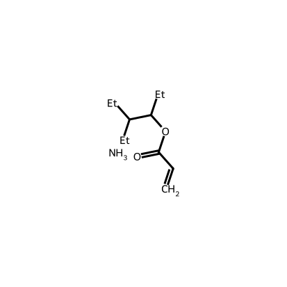 C=CC(=O)OC(CC)C(CC)CC.N